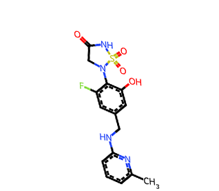 Cc1cccc(NCc2cc(O)c(N3CC(=O)NS3(=O)=O)c(F)c2)n1